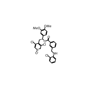 COc1ccc([C@H](Cc2c(Cl)c[n+]([O-])cc2Cl)OC(=O)c2cccc(CNc3ccccc3Cl)c2)cc1OC